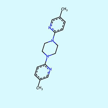 Cc1ccc(N2CCN(c3ccc(C)cn3)CC2)nc1